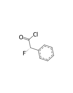 O=C(Cl)[C@@H](F)c1ccccc1